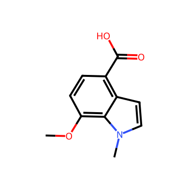 COc1ccc(C(=O)O)c2ccn(C)c12